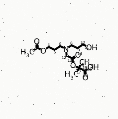 CC(=O)OCCCN(CCCO)CC(=O)OC(C)(C)C(=O)O